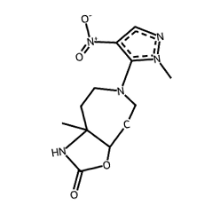 Cn1ncc([N+](=O)[O-])c1N1CCC2OC(=O)NC2(C)CC1